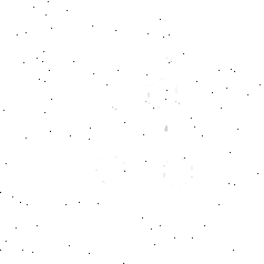 N#Cc1cnc(NC(Cc2ccccc2)C2CNCC2c2ccc(Cl)c(Cl)c2)nc1